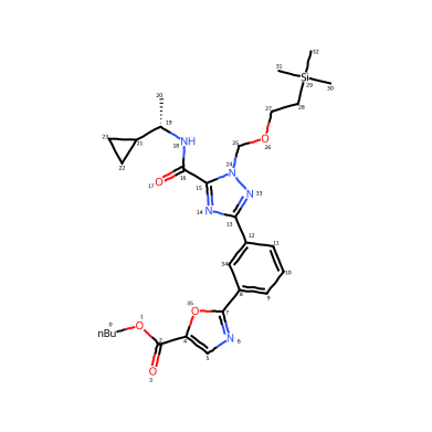 CCCCOC(=O)c1cnc(-c2cccc(-c3nc(C(=O)N[C@@H](C)C4CC4)n(COCC[Si](C)(C)C)n3)c2)o1